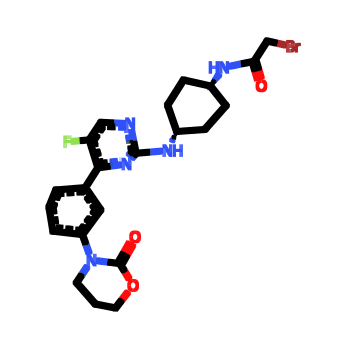 O=C(CBr)N[C@H]1CC[C@H](Nc2ncc(F)c(-c3cccc(N4CCCOC4=O)c3)n2)CC1